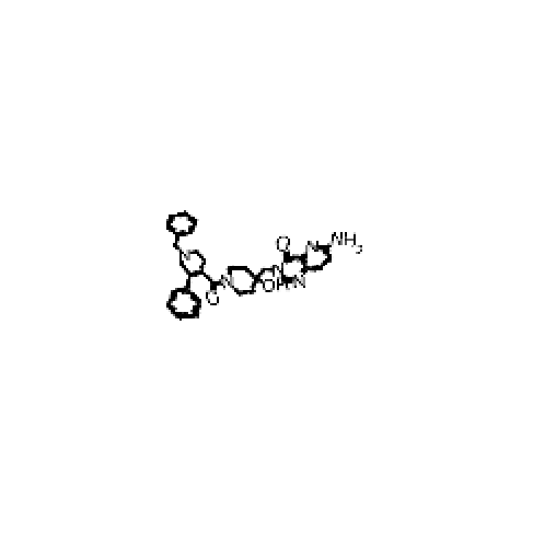 Nc1ccc2ncn(CC3(O)CCN(C(=O)C4CCN(Cc5ccccc5)CC4c4ccccc4)CC3)c(=O)c2n1